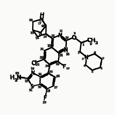 CC(CN1CCCCC1)Oc1nc(C2CC3CNC2C3)c2cc(Cl)c(-c3ccc(F)c4sc(N)nc34)c(F)c2n1